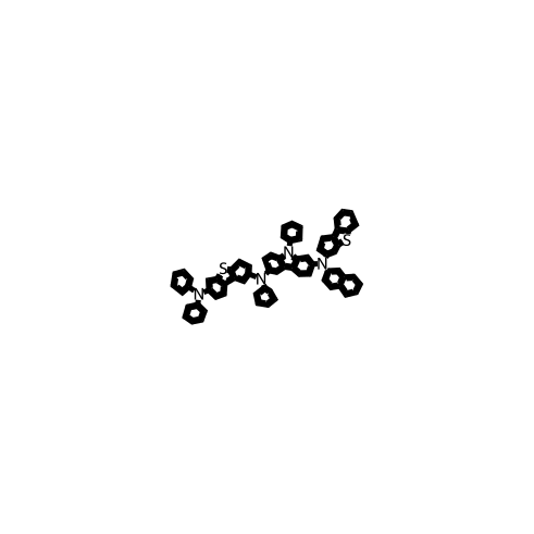 c1ccc(N(c2ccccc2)c2ccc3c(c2)sc2ccc(N(c4ccccc4)c4ccc5c(c4)c4ccc(N(c6ccc7ccccc7c6)c6ccc7c(c6)sc6ccccc67)cc4n5-c4ccccc4)cc23)cc1